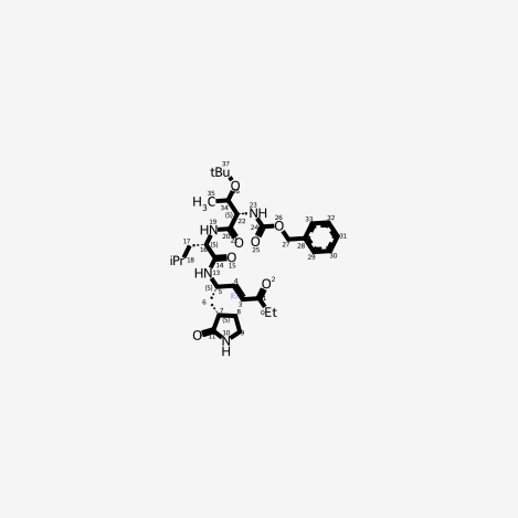 CCC(=O)/C=C/[C@H](C[C@@H]1CCNC1=O)NC(=O)[C@H](CC(C)C)NC(=O)[C@@H](NC(=O)OCc1ccccc1)C(C)OC(C)(C)C